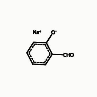 O=Cc1ccccc1[O-].[Na+]